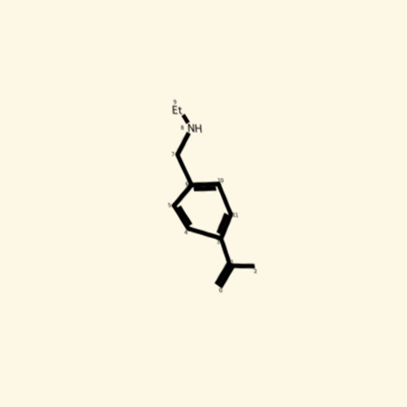 C=C(C)c1ccc(CNCC)cc1